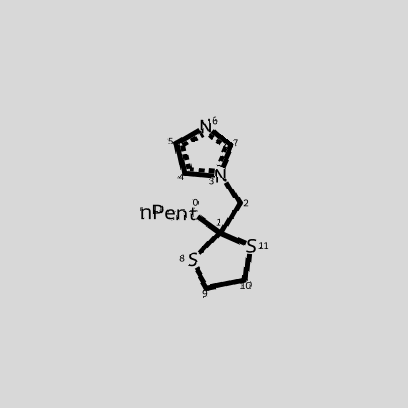 CCCCCC1(Cn2ccnc2)SCCS1